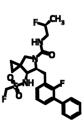 C[C@H](F)CNC(=O)N1CC2(CC2)[C@H](NS(=O)(=O)CF)[C@@H]1Cc1cccc(-c2ccccc2)c1F